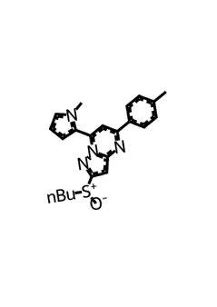 CCCC[S+]([O-])c1cc2nc(-c3ccc(C)cc3)cc(-c3cccn3C)n2n1